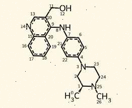 C[C@H]1CN(c2ccc(Nc3c(CO)cnc4ccccc34)cc2)CCN1C